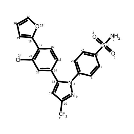 NS(=O)(=O)c1ccc(-n2nc(C(F)(F)F)cc2-c2ccc(-c3ccco3)c(Cl)c2)cc1